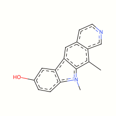 Cc1c2cnccc2cc2c3cc(O)ccc3n(C)c12